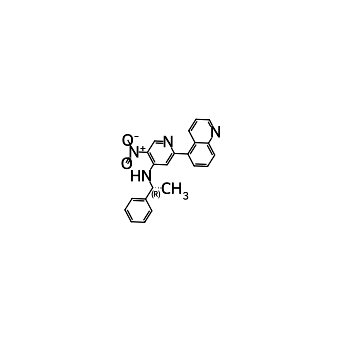 C[C@@H](Nc1cc(-c2cccc3ncccc23)ncc1[N+](=O)[O-])c1ccccc1